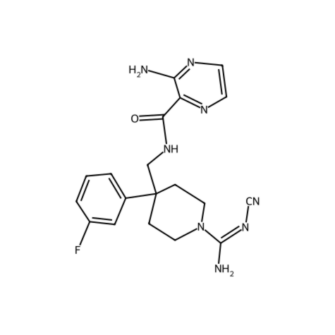 N#C/N=C(/N)N1CCC(CNC(=O)c2nccnc2N)(c2cccc(F)c2)CC1